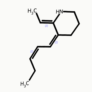 C\C=C1/NCCC/C1=C/C=C\CC